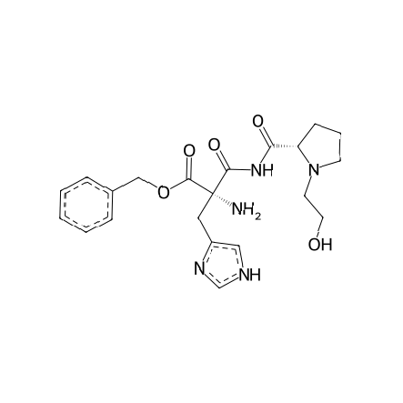 N[C@@](Cc1c[nH]cn1)(C(=O)NC(=O)[C@@H]1CCCN1CCO)C(=O)OCc1ccccc1